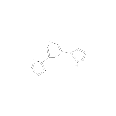 C1=C(c2ccc[nH]2)SC(c2ccc[nH]2)=CS1